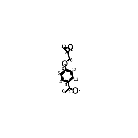 CC([O])c1ccc(OCC2CO2)cc1